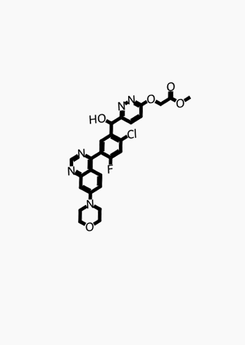 COC(=O)COc1ccc(C(O)c2cc(-c3ncnc4cc(N5CCOCC5)ccc34)c(F)cc2Cl)nn1